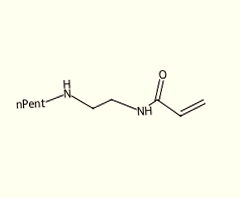 C=CC(=O)NCCNCCCCC